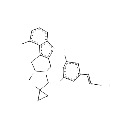 C[C@H]1Cc2c([nH]c3cccc(F)c23)[C@H](c2c(F)cc(C=CC(=O)O)cc2F)N1CC1(F)CC1